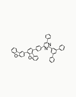 c1ccc(-c2cc(-c3ccccc3)cc(-c3nc(-c4ccccc4)cc(-c4ccc(-c5ccc(-c6ccc7oc8ccccc8c7c6)c6oc7ccccc7c56)cc4)n3)c2)cc1